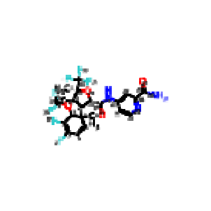 C[C@@H]1[C@H](C2(C)C=CC(F)=C(F)C2OC(F)F)[C@@H](C(=O)Nc2ccnc(C(N)=O)c2)O[C@]1(C)C(F)(F)F